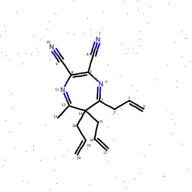 C=CCC1=NC(C#N)=C(C#N)N=C(C)C1(CC=C)CC=C